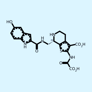 O=C(O)C(=O)Nc1sc2c(c1C(=O)O)CCN[C@H]2CNC(=O)c1cc2cc(O)ccc2[nH]1